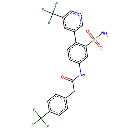 NS(=O)(=O)c1cc(NC(=O)Cc2ccc(C(F)(F)F)cc2)ccc1-c1cncc(C(F)(F)F)c1